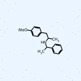 COc1ccc(CC(C)NC(C)c2ccccc2)cc1